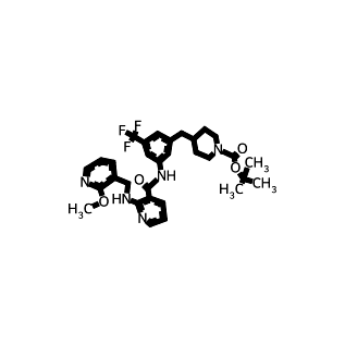 COc1ncccc1CNc1ncccc1C(=O)Nc1cc(CC2CCN(C(=O)OC(C)(C)C)CC2)cc(C(F)(F)F)c1